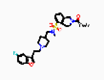 COC(=O)N1CCc2c(cccc2S(=O)(=O)N(C)CC2CCN(CCc3coc4ccc(F)cc34)CC2)C1